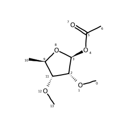 CO[C@H]1[C@H](OC(C)=O)O[C@H](C)[C@H]1OC